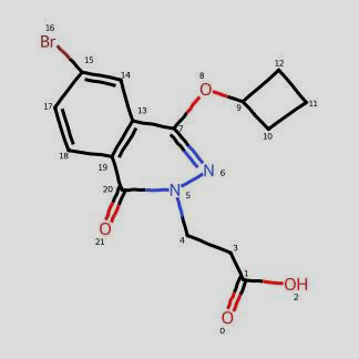 O=C(O)CCn1nc(OC2CCC2)c2cc(Br)ccc2c1=O